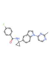 Cc1nccc(-n2ccc3cc(C4(NC(=O)c5ccc(F)cc5)CC4)ccc32)n1